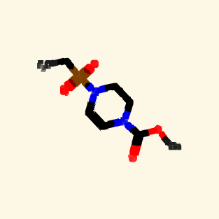 CC(C)(C)OC(=O)N1CCN(S(=O)(=O)CC(F)(F)F)CC1